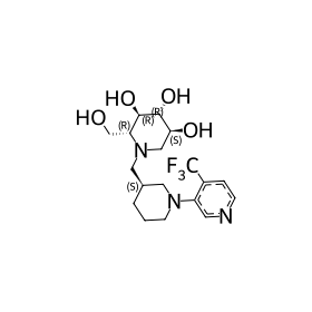 OC[C@@H]1[C@@H](O)[C@H](O)[C@@H](O)CN1C[C@@H]1CCCN(c2cnccc2C(F)(F)F)C1